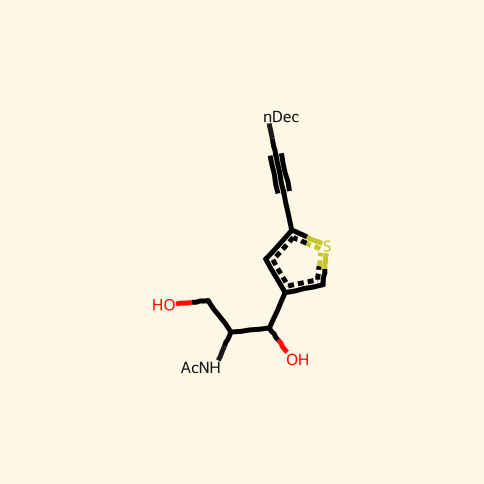 CCCCCCCCCCC#Cc1cc(C(O)C(CO)NC(C)=O)cs1